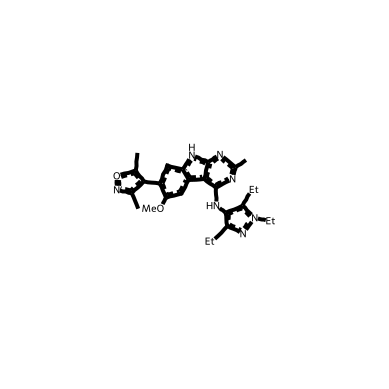 CCc1nn(CC)c(CC)c1Nc1nc(C)nc2[nH]c3cc(-c4c(C)noc4C)c(OC)cc3c12